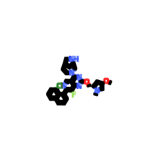 CO[C@@H]1C[C@@H](COc2nc(N3CCC4CNC(C4)C3)c3cnc(-c4cccc5cccc(Cl)c45)c(F)c3n2)N(C)C1